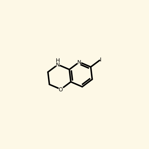 Ic1ccc2c(n1)NCCO2